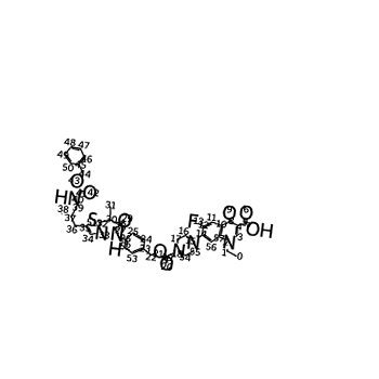 CCn1cc(C(=O)O)c(=O)c2cc(F)c(N3CCN(C(=O)OCc4ccc(NC(=O)C(C)c5ncc(C[C@H](C)CNC(=O)OCc6ccccc6)s5)cc4)CC3)cc21